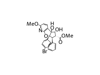 COC(=O)[C@H]1[C@@H](O)[C@@]2(O)c3ccc(OC)nc3O[C@@]2(c2ccc(Br)cc2)[C@@H]1c1ccccc1